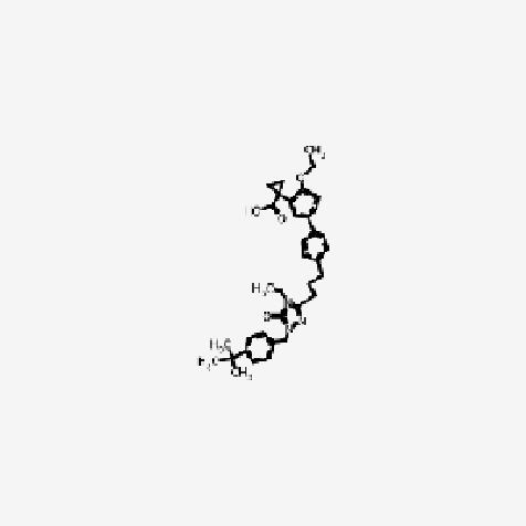 CCOc1ccc(-c2ccc(CCCc3nn(Cc4ccc(C(C)(C)C)cc4)c(=O)n3CC)cc2)cc1C1(C(=O)O)CC1